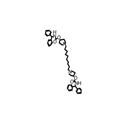 O=C(NC(c1ccccc1)c1ccccc1)OC1CCN(CCCCCCCCCCN2CCC(OC(=O)NC(c3ccccc3)c3ccccc3)CC2)CC1